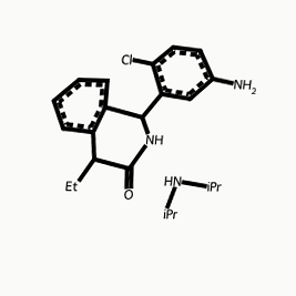 CC(C)NC(C)C.CCC1C(=O)NC(c2cc(N)ccc2Cl)c2ccccc21